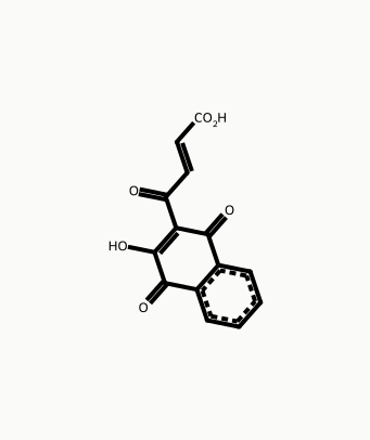 O=C(O)C=CC(=O)C1=C(O)C(=O)c2ccccc2C1=O